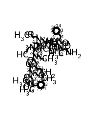 C#CCN(CC(=O)N(CCOC)CC(=O)NC(C(=O)NC(Cc1ccccc1)C(=O)NC(C)C(N)=O)C(C)O)C(=O)CN(CCC)C(=O)CN(CC=C)C(=O)CN(CCOC)C(=O)CN(C(C)=O)C(C)c1ccccc1